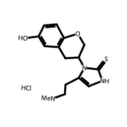 CNCCc1c[nH]c(=S)n1C1COc2ccc(O)cc2C1.Cl